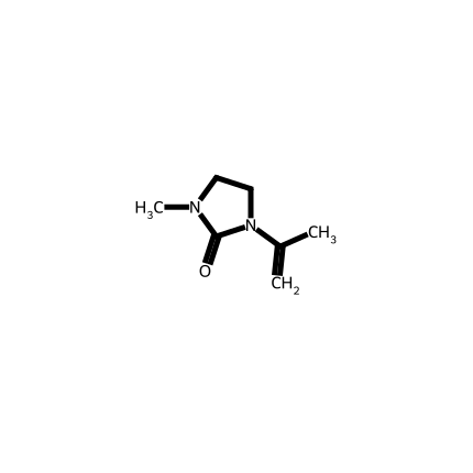 C=C(C)N1CCN(C)C1=O